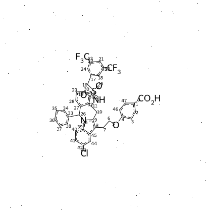 O=C(O)c1ccc(OCCc2c(CCNS(=O)(=O)Cc3cc(C(F)(F)F)cc(C(F)(F)F)c3)n(C(c3ccccc3)c3ccccc3)c3ccc(Cl)cc23)cc1